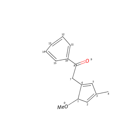 COC1C=C(C)C=C1CC(=O)c1ccccc1